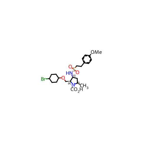 COc1ccc(CCS(=O)(=O)N[C@H]2C[C@@H](C)N(C(=O)O)[C@H]2COC2CCC(Br)CC2)cc1